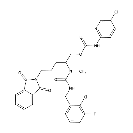 CN(C(=O)NCc1cccc(F)c1Cl)C(CCCN1C(=O)c2ccccc2C1=O)COC(=O)Nc1ccc(Cl)cn1